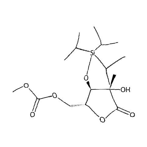 COC(=O)OC[C@H]1OC(=O)[C@@](C)(O)[C@@H]1O[Si](C(C)C)(C(C)C)C(C)C